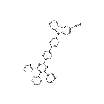 N#Cc1ccc2c(c1)c1ccccc1n2C1C=CC(c2ccc(-c3nc(C4=NC=CCC4)c(-c4ccccc4)c(-c4cccnc4)n3)cc2)=CC1